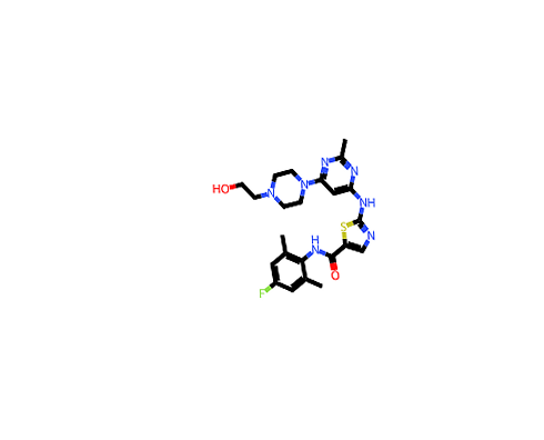 Cc1nc(Nc2ncc(C(=O)Nc3c(C)cc(F)cc3C)s2)cc(N2CCN(CCO)CC2)n1